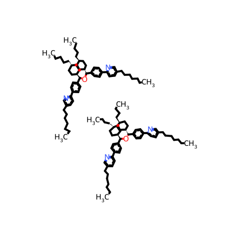 CCCCCCCc1ccc(-c2ccc(C(OC(c3ccc(-c4ccc(CCCCCCC)cn4)cc3)[C@H]3CC[C@H](CCCC)CC3)[C@H]3CC[C@H](CCCC)CC3)cc2)nc1.CCCCCCCc1ccc(-c2ccc(C(OC(c3ccc(-c4ccc(CCCCCCC)cn4)cc3)[C@H]3CC[C@H](CCCCC)CC3)[C@H]3CC[C@H](CCCCC)CC3)cc2)nc1